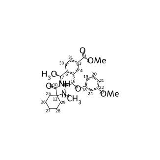 COC(=O)c1ccc([C@H](C)NC(=O)C2(N(C)CCOc3cccc(OC)c3)CCCCC2)cc1